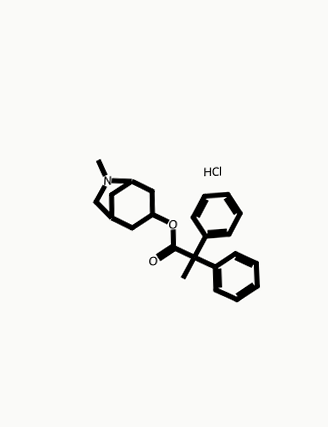 CN1CC2CC(OC(=O)C(C)(c3ccccc3)c3ccccc3)CC1C2.Cl